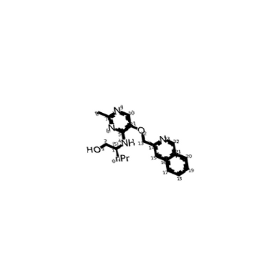 CCC[C@@H](CO)Nc1nc(C)ncc1OCc1cc2ccccc2cn1